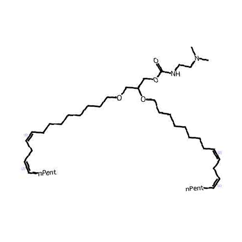 CCCCC/C=C\C/C=C\CCCCCCCCOCC(COC(=O)NCCN(C)C)OCCCCCCCC/C=C\C/C=C\CCCCC